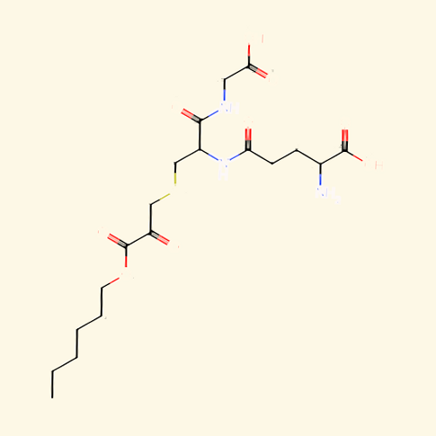 CCCCCCOC(=O)C(=O)CSCC(NC(=O)CCC(N)C(=O)O)C(=O)NCC(=O)O